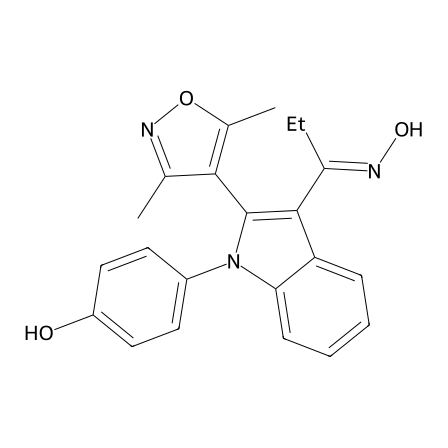 CCC(=NO)c1c(-c2c(C)noc2C)n(-c2ccc(O)cc2)c2ccccc12